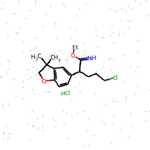 CCOC(=N)C(CCCCl)c1ccc2c(c1)C(C)(C)CO2.Cl